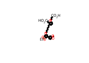 CCS(=O)(=O)c1cc(OCCCCCCc2cccc(OCCCC(=O)O)c2CCC(=O)O)cc(-c2ccc3c(c2)OCO3)c1